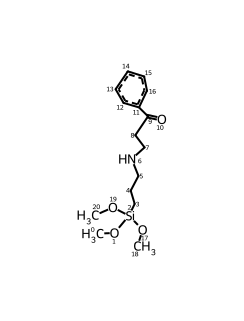 CO[Si](CCCNCCC(=O)c1ccccc1)(OC)OC